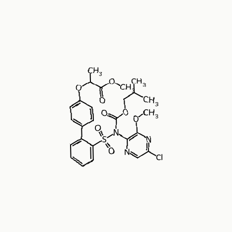 COC(=O)C(C)Oc1ccc(-c2ccccc2S(=O)(=O)N(C(=O)OCC(C)C)c2ncc(Cl)nc2OC)cc1